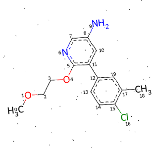 COCCOc1ncc(N)cc1-c1ccc(Cl)c(C)c1